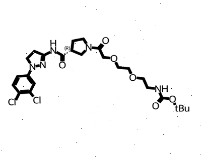 CC(C)(C)OC(=O)NCCOCCOCC(=O)N1CC[C@@H](C(=O)NC2=NN(c3ccc(Cl)c(Cl)c3)CC2)C1